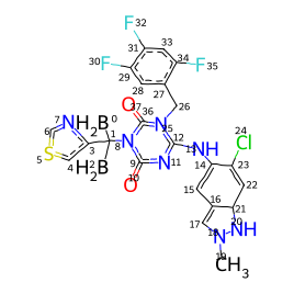 BC(B)(c1cscn1)n1c(=O)nc(NC2=CC3=CN(C)NC3C=C2Cl)n(Cc2cc(F)c(F)cc2F)c1=O